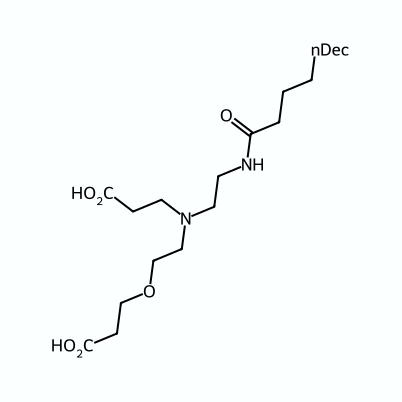 CCCCCCCCCCCCCC(=O)NCCN(CCOCCC(=O)O)CCC(=O)O